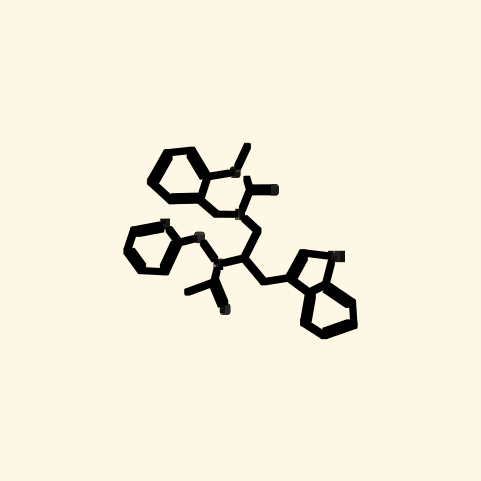 COc1ccccc1CN(CC(Cc1c[nH]c2ccccc12)N(Oc1ccccn1)C(C)=O)C(C)=O